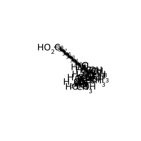 CC1(O)[C@@](C)(OC[C@]2(CO)O[C@](C)(CO)C(C)(O)[C@@]2(C)O)OC(C)(COC(=O)NCCCCCCCCCCCC(=O)O)[C@@](C)(O)[C@@]1(C)O